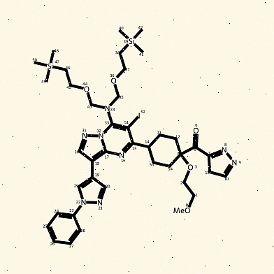 COCCOC1(C(=O)C2=NN=CC2)CCC(c2nc3c(-c4cnn(-c5ccccc5)c4)cnn3c(N(COCC[Si](C)(C)C)COCC[Si](C)(C)C)c2I)CC1